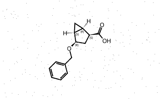 O=C(O)[C@H]1C[C@@H](OCc2ccccc2)[C@H]2C[C@H]21